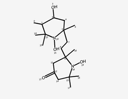 CC1C(O)CC(C)(CCC2(C)CC(=O)CC(C)(C)N2O)N(O)C1(C)C